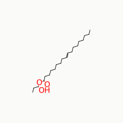 CCCCCCCCC=CCCCCCCCC(=O)OC(O)CC